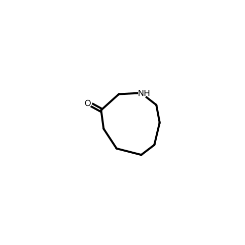 O=C1CCCCCCNC1